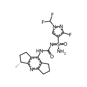 C[C@@H]1CCc2c1nc1c(c2NC(=O)N=[S@@](N)(=O)c2cn(C(F)F)nc2F)CCC1